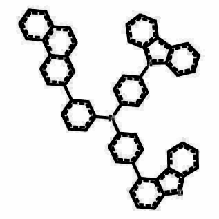 c1cc(-c2ccc3c(ccc4ccccc43)c2)cc(N(c2ccc(-c3cccc4oc5ccccc5c34)cc2)c2ccc(-n3c4ccccc4c4ccccc43)cc2)c1